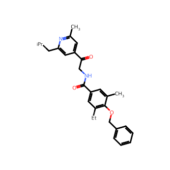 CCc1cc(C(=O)NCC(=O)c2cc(C)nc(CC(C)C)c2)cc(C)c1OCc1ccccc1